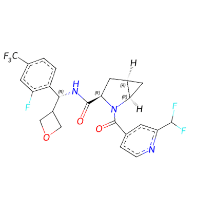 O=C(N[C@@H](c1ccc(C(F)(F)F)cc1F)C1COC1)[C@H]1C[C@H]2C[C@H]2N1C(=O)c1ccnc(C(F)F)c1